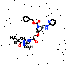 CCC(C)(C)C(=O)N[C@@H](CNC(=O)CO[C@@H]1C[C@@H](CNc2ccccn2)N(C(=O)OCc2ccccc2)C1)C(=O)O